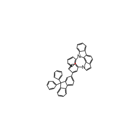 c1ccc(-n2c3ccccc3c3ccc4ccn(-c5cccc(-c6ccc7c(c6)C(c6ccccc6)(c6ccccc6)c6ccccc6-7)c5)c4c32)cc1